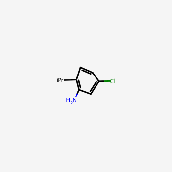 CC(C)c1ccc(Cl)cc1N